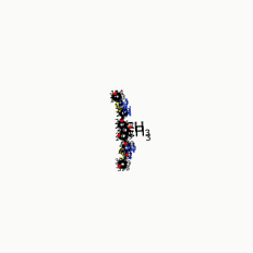 CC1(C)c2cc(-c3cnc4nc(-c5ccccc5)sc4c3)ccc2-c2ccc(-c3cnc4nc(-c5ccccc5)sc4c3)cc21